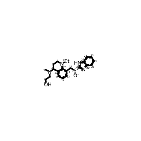 CCN1CCC(N(C)CCO)c2cccc(C[S+]([O-])c3nc4ccccc4[nH]3)c21